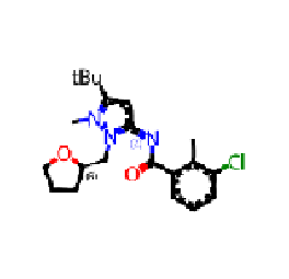 Cc1c(Cl)cccc1C(=O)/N=c1/cc(C(C)(C)C)n(C)n1C[C@H]1CCCO1